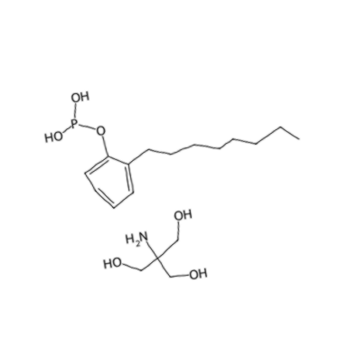 CCCCCCCCc1ccccc1OP(O)O.NC(CO)(CO)CO